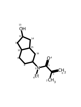 C=C(C)C(=O)N(CC)C1CCC2CC(O)CC2C1